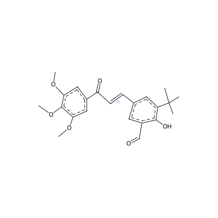 COc1cc(C(=O)/C=C/c2cc(C=O)c(O)c(C(C)(C)C)c2)cc(OC)c1OC